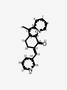 Cc1c2c(n3ccccc13)C(=O)C(=Cc1cccnc1)CC2